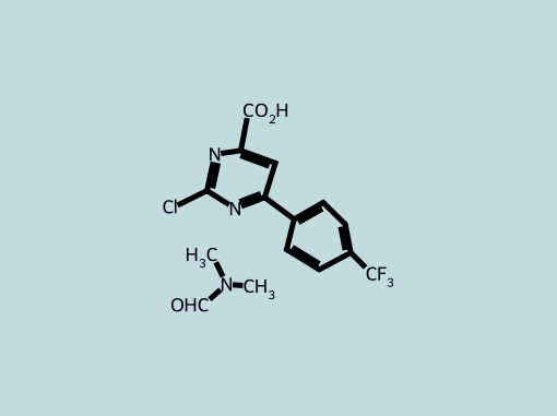 CN(C)C=O.O=C(O)c1cc(-c2ccc(C(F)(F)F)cc2)nc(Cl)n1